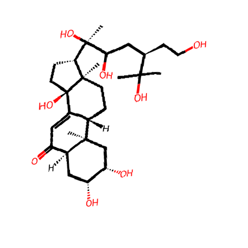 CC(C)(O)[C@H](CCO)CC(O)[C@](C)(O)[C@H]1CC[C@@]2(O)C3=CC(=O)[C@@H]4C[C@@H](O)[C@@H](O)C[C@]4(C)[C@H]3CC[C@]12C